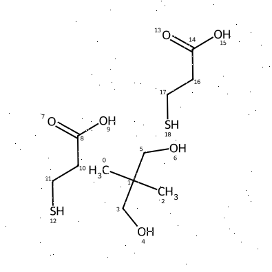 CC(C)(CO)CO.O=C(O)CCS.O=C(O)CCS